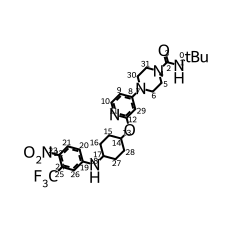 CC(C)(C)NC(=O)N1CCN(c2ccnc(OC3CCC(Nc4ccc([N+](=O)[O-])c(C(F)(F)F)c4)CC3)c2)CC1